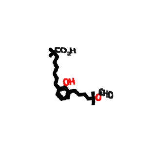 CC(C)(CCCCc1cccc(CCCCCCC(C)(C)C(=O)O)c1O)OC=O